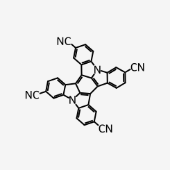 N#Cc1ccc2c(c1)c1c3c4ccc(C#N)cc4n4c5ccc(C#N)cc5c(c5c6ccc(C#N)cc6n2c15)c34